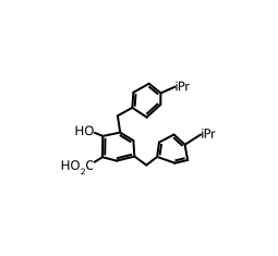 CC(C)c1ccc(Cc2cc(Cc3ccc(C(C)C)cc3)c(O)c(C(=O)O)c2)cc1